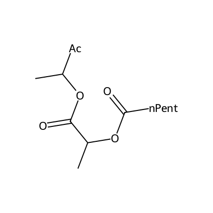 CCCCCC(=O)OC(C)C(=O)OC(C)C(C)=O